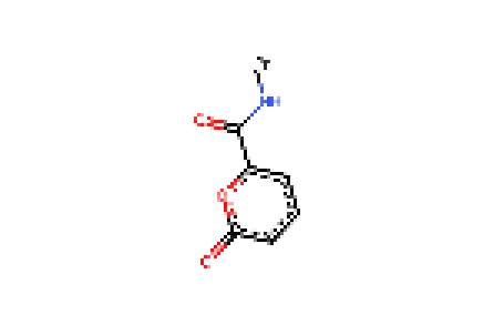 CC(C)NC(=O)c1cccc(=O)o1